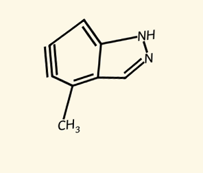 Cc1c#ccc2[nH]ncc12